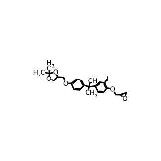 CC1(C)OCC(COc2ccc(C(C)(C)c3ccc(OCC4CO4)c(I)c3)cc2)O1